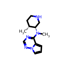 C[C@@H]1CCNC[C@@H]1N(C)c1ncnn2cccc12